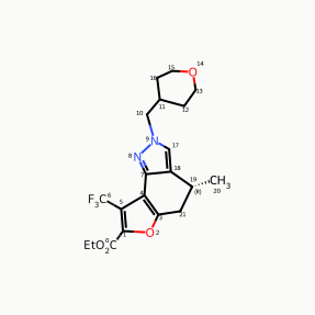 CCOC(=O)c1oc2c(c1C(F)(F)F)-c1nn(CC3CCOCC3)cc1[C@H](C)C2